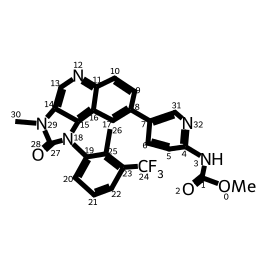 COC(=O)Nc1ccc(-c2ccc3ncc4c(c3c2)n(-c2cccc(C(F)(F)F)c2C)c(=O)n4C)cn1